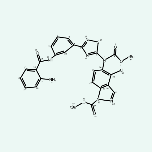 CC(C)(C)OC(=O)N(c1nc(-c2cccc(NC(=O)c3ccccc3N)c2)ns1)c1ccc2c(cnn2C(=O)OC(C)(C)C)c1Cl